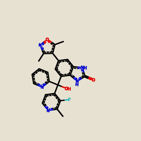 Cc1nccc(C(O)(c2ccccn2)c2cc(-c3c(C)noc3C)cc3[nH]c(=O)[nH]c23)c1F